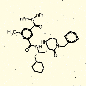 CCCN(CCC)C(=O)c1cc(C)cc(C(=O)N[C@@H](CC2CCCCC2)C[C@@H]2NCCN(Cc3ccccc3)C2=O)c1